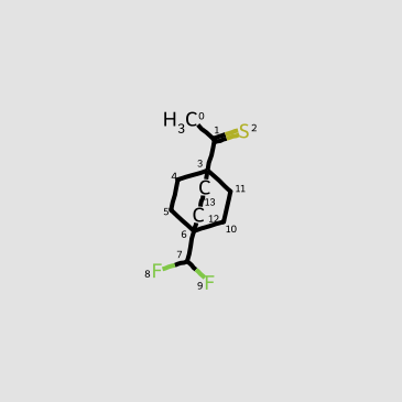 CC(=S)C12CCC(C(F)F)(CC1)CC2